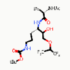 CC(=O)N[C@H](C(=O)N[C@@H](CCCNC(=O)OC(C)(C)C)C(O)COC(C(F)(F)F)C(F)(F)F)C(C)C